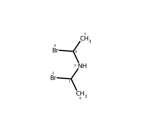 CC(Br)NC(C)Br